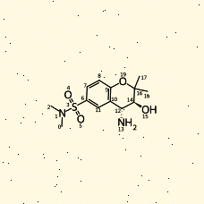 CN(C)S(=O)(=O)c1ccc2c(c1)[C@@H](N)[C@H](O)C(C)(C)O2